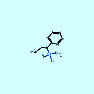 CCCCCCCCCCC(c1ccccc1)[N+](CC)(CC)CC.[Cl-]